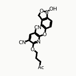 [C-]#[N+]c1cc(C#N)c(Oc2ccc3c(c2)COB3O)nc1OCCCC(C)=O